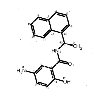 C[C@@H](NC(=O)c1cc(N)ccc1O)c1cccc2ccccc12